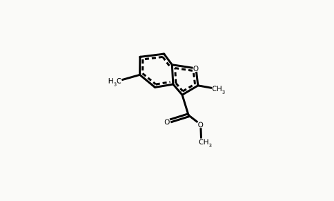 COC(=O)c1c(C)oc2ccc(C)cc12